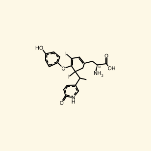 CC(c1ccc(=O)[nH]c1)C1(I)CC(C[C@H](N)C(=O)O)=CC(I)=C1Oc1ccc(O)cc1